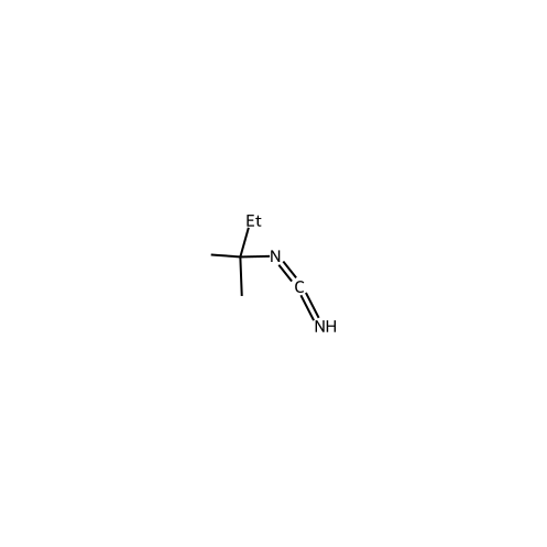 CCC(C)(C)N=C=N